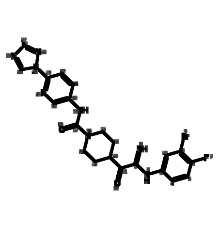 N=C(Nc1ccc(F)c(Br)c1)C(=O)C1CCN(C(=O)Nc2ccc(-n3cnnn3)nc2)CC1